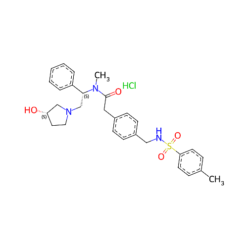 Cc1ccc(S(=O)(=O)NCc2ccc(CC(=O)N(C)[C@H](CN3CC[C@H](O)C3)c3ccccc3)cc2)cc1.Cl